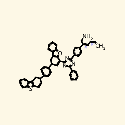 C/C=C\C=C(/CN)c1ccc(-c2nc(C3=CC(c4ccc(C5C=Cc6sc7ccccc7c6C5)cc4)Cc4c3oc3ccccc43)nc(-c3ccccc3)n2)cc1